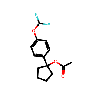 CC(=O)OC1(c2ccc(OC(F)F)cc2)CCCC1